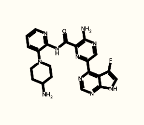 Nc1ncc(-c2ncnc3[nH]cc(F)c23)nc1C(=O)Nc1ncccc1N1CCC(N)CC1